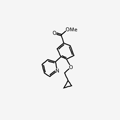 COC(=O)c1ccc(OCC2CC2)c(-c2ccccn2)c1